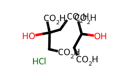 Cl.O=C(O)CC(O)(CC(=O)O)C(=O)O.O=C(O)CC(O)C(=O)O